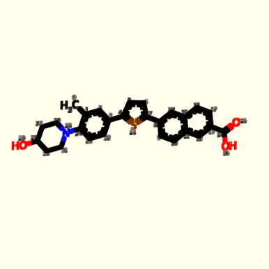 Cc1cc(-c2ccc(-c3ccc4cc(C(=O)O)ccc4c3)s2)ccc1N1CCC(O)CC1